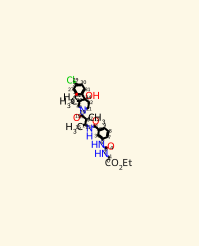 CCOC(=O)CNC(=O)Nc1cccc(C(=O)NC(C)[C@@H](C)C(=O)N2CC[C@](O)(c3ccc(Cl)cc3)C(C)(C)C2)c1